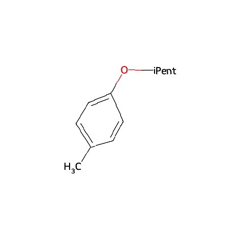 CCCC(C)Oc1ccc(C)cc1